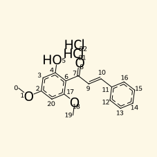 COc1cc(O)c(C(=O)C=Cc2ccccc2)c(OC)c1.Cl.Cl